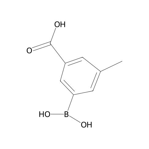 Cc1cc(B(O)O)cc(C(=O)O)c1